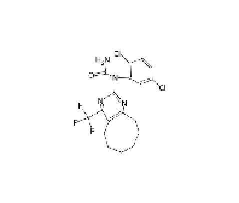 NC(=O)N(c1nc2c(c(C(F)(F)F)n1)CCCCCC2)c1cc(Cl)ccc1Cl